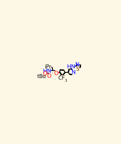 CC(C)C[C@@](C)(COc1ccc(-c2ccnc(Nc3nccs3)c2)cc1C(F)(F)F)NC(=O)OC(C)(C)C